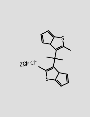 CC1=C(C(C)(C)C2=C(C)SC3=CC=CC32)C2C=CC=C2S1.[Cl-].[Cl-].[Zr+2]